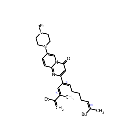 C=C(CC)/C(C)=C/C(=C\CCC/C=C(/C)C(C)CC)c1cc(=O)n2cc(N3CCN(CCC)CC3)ccc2n1